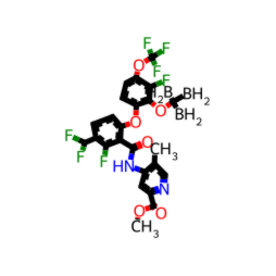 BC(B)(B)Oc1c(Oc2ccc(C(F)F)c(F)c2C(=O)Nc2cc(C(=O)OC)ncc2C)ccc(OC(F)(F)F)c1F